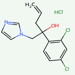 C=CCC(O)(Cn1ccnc1)c1ccc(Cl)cc1Cl.Cl